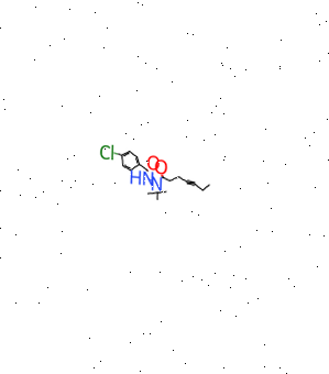 CCC#CCCC(=O)N(NC(=O)c1ccc(Cl)cc1)C(C)(C)C